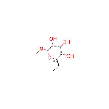 CC[C@H]1OC(OC)C(O)C(O)C1O